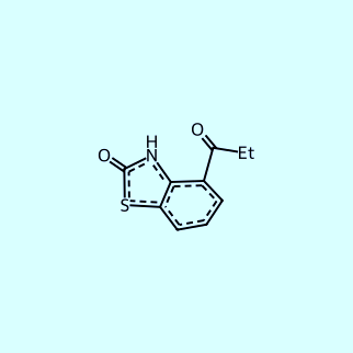 CCC(=O)c1cccc2sc(=O)[nH]c12